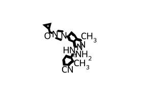 Cc1c(C#N)cccc1[C@@H](N)Nc1nnc(C)c2ccc(N3CCN(C(=O)C4CC4)CC3)cc12